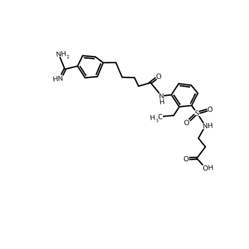 CCc1c(NC(=O)CCCCc2ccc(C(=N)N)cc2)cccc1S(=O)(=O)NCCC(=O)O